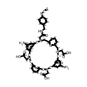 Nc1cc2c(O)c(c1)CN(CC(=O)O)Cc1cccc(n1)CN(CC(=O)NCc1ccc(N=C=S)cc1)Cc1cc(N)cc(c1O)CN(CC(=O)O)Cc1cccc(n1)CN(CC(=O)O)C2